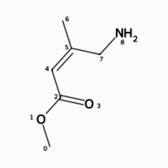 COC(=O)C=C(C)CN